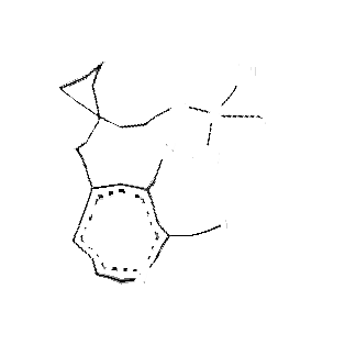 CC(C)c1nccc(CC2(CO[Si](C)(C)C(C)(C)C)CC2)c1N